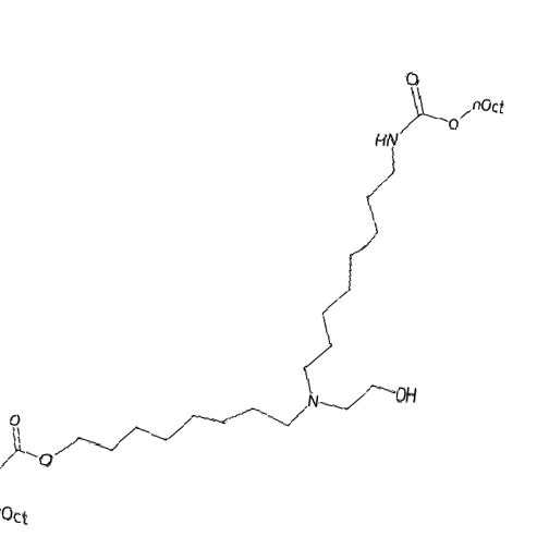 CCCCCCCCNC(=O)OCCCCCCCCN(CCO)CCCCCCCCNC(=O)OCCCCCCCC